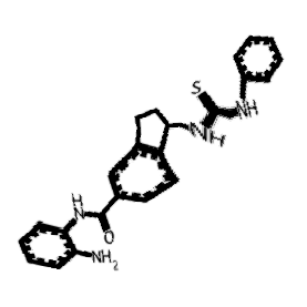 Nc1ccccc1NC(=O)c1ccc2c(c1)CCC2NC(=S)Nc1ccccc1